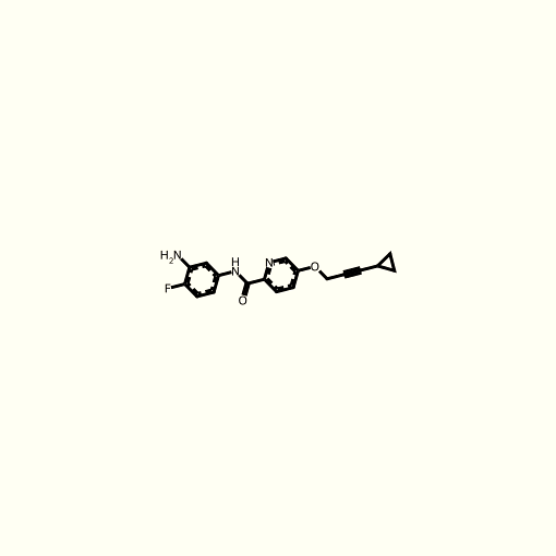 Nc1cc(NC(=O)c2ccc(OCC#CC3CC3)cn2)ccc1F